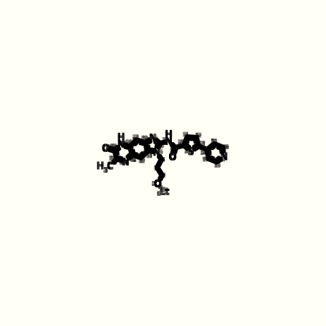 CCOCCCn1c(NC(=O)c2ccc(-c3ccncc3)s2)nc2cc3[nH]c(=O)c(C)nc3cc21